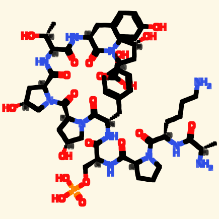 C[C@H](N)C(=O)N[C@@H](CCCCN)C(=O)N1CCC[C@H]1C(=O)N[C@@H](COP(=O)(O)O)C(=O)N[C@@H](Cc1ccc(O)cc1)C(=O)N1C[C@H](O)C[C@H]1C(=O)N1C[C@H](O)C[C@H]1C(=O)N[C@H](C(=O)N[C@@H](Cc1ccc(O)cc1)C(=O)N1C[C@H](O)C[C@H]1C(=O)O)[C@@H](C)O